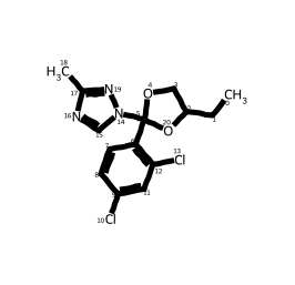 CCC1COC(c2ccc(Cl)cc2Cl)(n2cnc(C)n2)O1